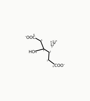 O=C([O-])CCC(O)CC(=O)[O-].[Li+].[Li+]